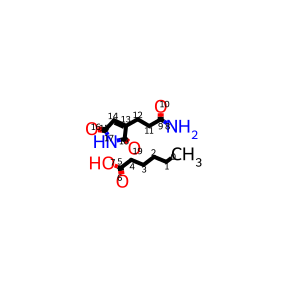 CCCCCC(=O)O.NC(=O)CCC1=CC(=O)NC1=O